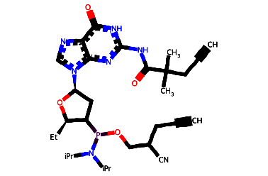 C#CCC(C#N)COP(C1C[C@H](n2cnc3c(=O)[nH]c(NC(=O)C(C)(C)CC#C)nc32)O[C@@H]1CC)N(C(C)C)C(C)C